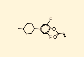 C=CC(=O)Oc1c(F)cc(C2CCC(C)CC2)cc1F